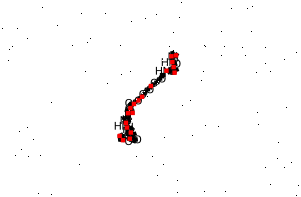 CC(=O)c1c(C)c2cnc(Nc3ccc(N4CCN(C(=O)CCOCCOCCOCCOCCOCCNc5ccc(C)c(C(=O)Nc6nc(C)c(C)s6)c5)CC4)cn3)nc2n(C2CCCC2)c1=O